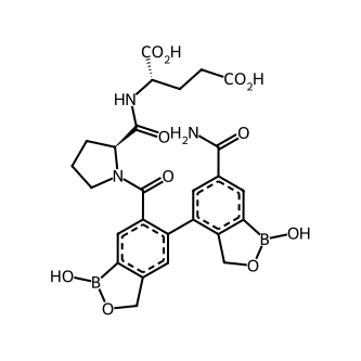 NC(=O)c1cc2c(c(-c3cc4c(cc3C(=O)N3CCC[C@H]3C(=O)N[C@@H](CCC(=O)O)C(=O)O)B(O)OC4)c1)COB2O